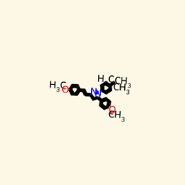 COc1ccc(C=CC2=NN(c3ccc(C(C)(C)C)cc3)C(c3ccc(OC)cc3)C2)cc1